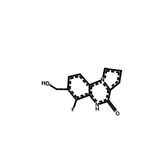 O=c1[nH]c2c(F)c(CO)ccc2n2cccc12